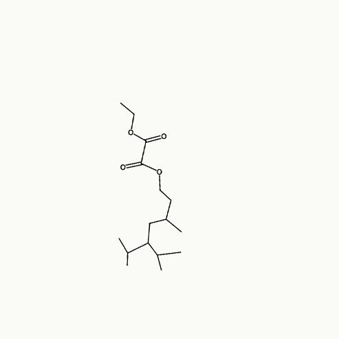 CCOC(=O)C(=O)OCCC(C)CC(C(C)C)C(C)C